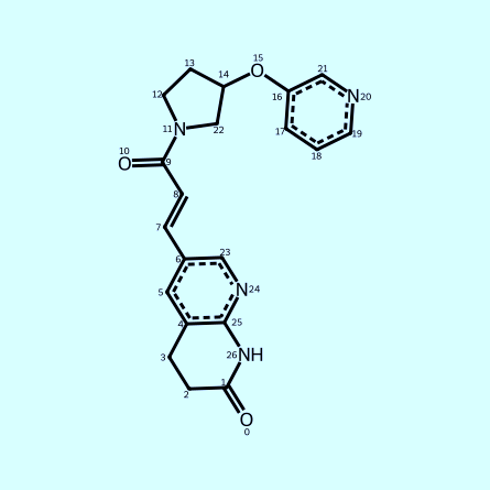 O=C1CCc2cc(C=CC(=O)N3CCC(Oc4cccnc4)C3)cnc2N1